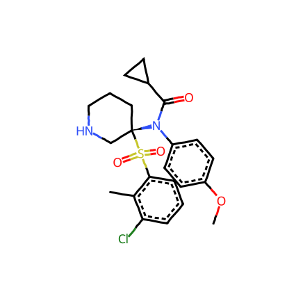 COc1ccc(N(C(=O)C2CC2)[C@]2(S(=O)(=O)c3cccc(Cl)c3C)CCCNC2)cc1